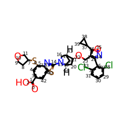 O=C(O)c1cc(SC2CCOC2)c2nc(N3C[C@@H]4C[C@H]3C[C@H]4OCc3c(-c4c(Cl)cccc4Cl)noc3C3CC3)sc2c1